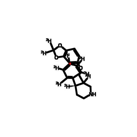 [2H]c1c([2H])c([C@]2([2H])CCNCC2([2H])COc2ccc3c(c2)OC([2H])([2H])O3)c([2H])c([2H])c1F